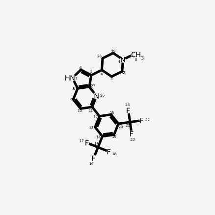 CN1CCC(c2c[nH]c3ccc(-c4cc(C(F)(F)F)cc(C(F)(F)F)c4)nc23)CC1